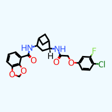 O=C(COc1ccc(Cl)c(F)c1)N[C@@H]1CC(NC(=O)c2cccc3c2OCO3)C2CC1C2